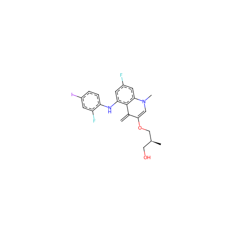 C=C1C(OC[C@@H](C)CO)=CN(C)c2cc(F)cc(Nc3ccc(I)cc3F)c21